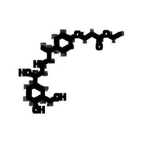 CCOC(=O)CCOc1ccc(C(C)CNCC(O)c2ccc(O)c(CO)c2)cc1